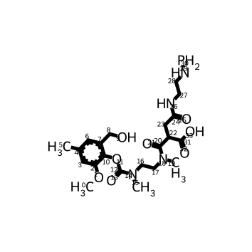 COc1cc(C)cc(CO)c1OC(=O)N(C)CCN(C)C(=O)C(CC(=O)NCCNP)C(=O)O